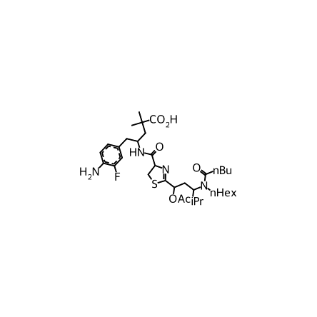 CCCCCCN(C(=O)CCCC)C(CC(OC(C)=O)C1=NC(C(=O)NC(Cc2ccc(N)c(F)c2)CC(C)(C)C(=O)O)CS1)C(C)C